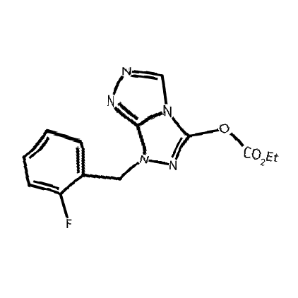 CCOC(=O)Oc1nn(Cc2ccccc2F)c2nncn12